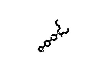 C/C=C\C=C/CN(/C(C)=C/C=C\C)C(/C=C\C(C)C1=CC=C(c2cccs2)CC1)=C/C